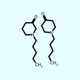 CCCCCN1CCC(=O)CC1.CCCCCN1CCCC(=O)C1